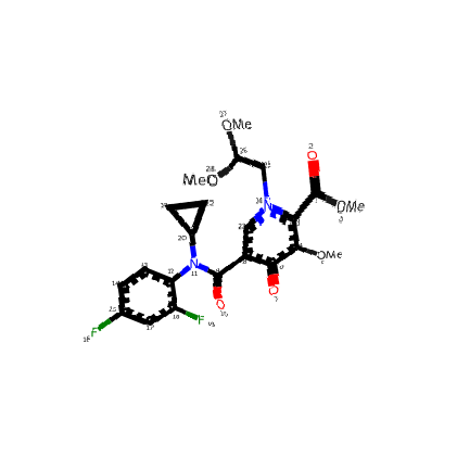 COC(=O)c1c(OC)c(=O)c(C(=O)N(c2ccc(F)cc2F)C2CC2)cn1CC(OC)OC